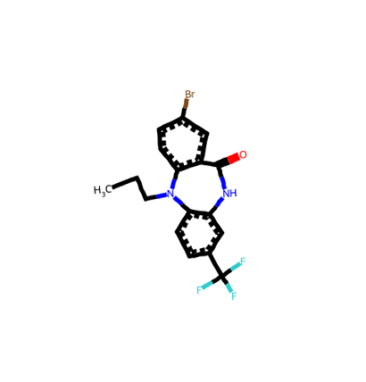 CCCN1c2ccc(C(F)(F)F)cc2NC(=O)c2cc(Br)ccc21